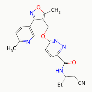 CC[C@@H](CC#N)NC(=O)c1ccc(OCc2c(-c3ccc(C)nc3)noc2C)nn1